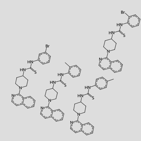 Cc1ccc(NC(=S)NC2CCN(c3nccc4ccccc34)CC2)cc1.Cc1ccccc1NC(=S)NC1CCN(c2nccc3ccccc23)CC1.S=C(Nc1cccc(Br)c1)NC1CCN(c2nccc3ccccc23)CC1.S=C(Nc1ccccc1Br)NC1CCN(c2nccc3ccccc23)CC1